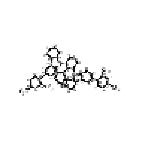 N#Cc1cccc(-c2c(-n3c4ccccc4c4cc(-c5ccc(C(F)(F)F)cc5C(F)(F)F)ccc43)cncc2-n2c3ccccc3c3cc(-c4ccc(C(F)(F)F)cc4C(F)(F)F)ccc32)c1